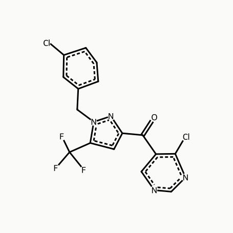 O=C(c1cc(C(F)(F)F)n(Cc2cccc(Cl)c2)n1)c1cncnc1Cl